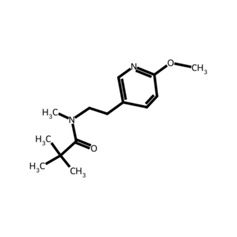 COc1ccc(CCN(C)C(=O)C(C)(C)C)cn1